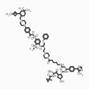 Cc1ncsc1-c1ccc([C@H](CC(=O)NCCCCC(=O)N2CCN(CC[C@H](CSc3ccccc3)Nc3ccc(S(=O)(=O)NC(=O)c4ccc(N5CCN(CC6=C(C78CC(C)(C7)C8)CC(C)(C)CC6)CC5)cc4)cc3S(=O)(=O)C(F)(F)F)CC2)NC(=O)[C@@H]2C[C@@H](O)CC2C(=O)[C@@H](NC(=O)C2(F)CC2)C(C)(C)C)cc1